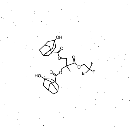 CC(COC(=O)C12CC3CC(CC(O)(C3)C1)C2)(COC(=O)C12CC3CC(CC(O)(C3)C1)C2)C(=O)OCC(F)(F)Br